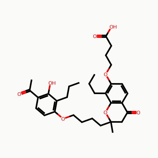 CCCc1c(OCCCCC2(C)CC(=O)c3ccc(OCCCC(=O)O)c(CCC)c3O2)ccc(C(C)=O)c1O